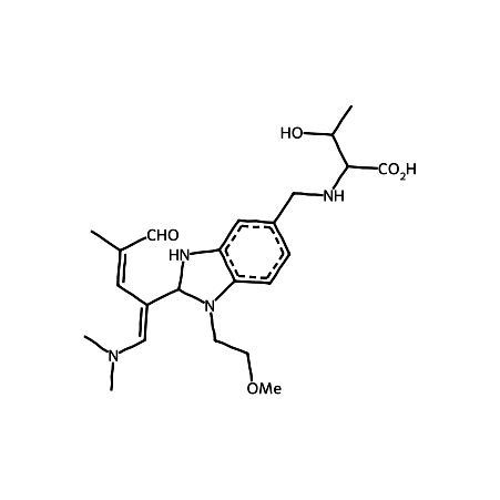 COCCN1c2ccc(CNC(C(=O)O)C(C)O)cc2NC1C(/C=C(/C)C=O)=C/N(C)C